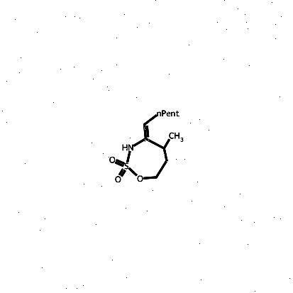 CCCCC/C=C1/NS(=O)(=O)OCCC1C